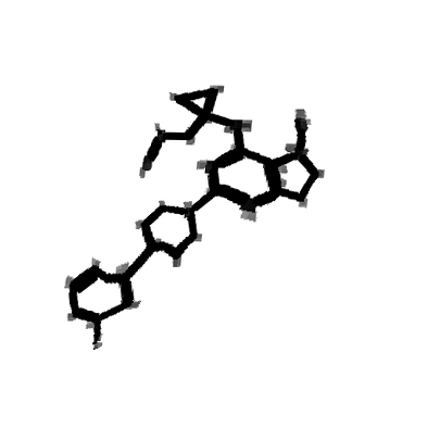 O=NCC1(Nc2nc(N3CCC(C4C=CC=C(F)C4)CC3)nc3c2[S+]([O-])CC3)CC1